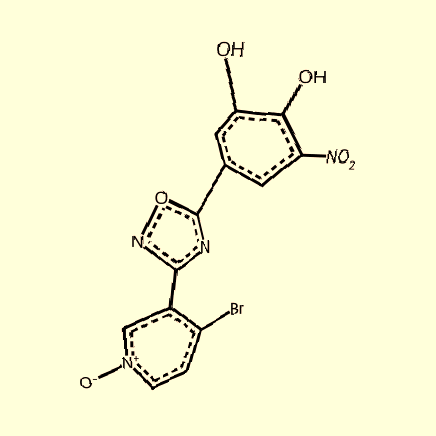 O=[N+]([O-])c1cc(-c2nc(-c3c[n+]([O-])ccc3Br)no2)cc(O)c1O